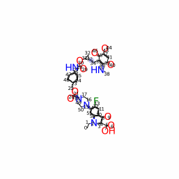 CCn1cc(C(=O)O)c(=O)c2cc(F)c(N3CCN(C(=O)OCc4ccc(NC(=O)OC5C/C5=C\C5=C(NC)C(=O)C=C(OC)C5=O)cc4)CC3)cc21